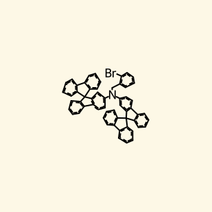 Brc1ccccc1CN(c1ccc2c(c1)C1(c3ccccc3-c3ccccc31)c1ccccc1-2)c1ccc2c(c1)C1(c3ccccc3-c3ccccc31)c1ccccc1-2